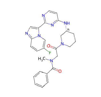 CN(CC(=O)N1CCC[C@@H](Nc2ccnc(-c3cnc4ccc(F)cn34)n2)C1)C(=O)c1ccccc1